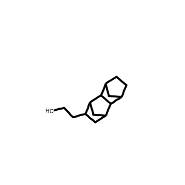 OCCC1CC2CC1C1C3CCC(C3)C21